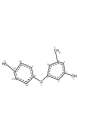 Cc1cc(O)cc(Oc2ccc(S)nc2)c1